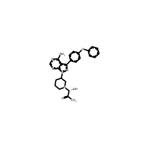 CC(=O)[C@@H](O)N1CCCC(n2nc(-c3ccc(Oc4ccccc4)cc3)c3c(N)ncnc32)C1